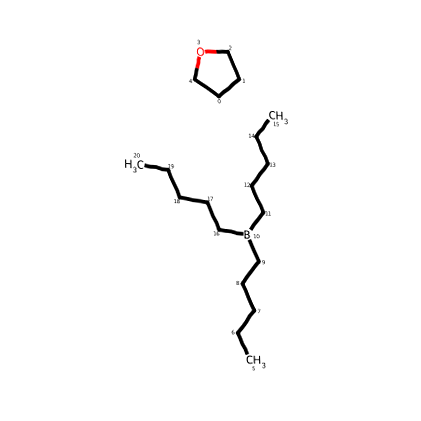 C1CCOC1.CCCCCB(CCCCC)CCCCC